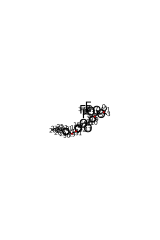 CCC(C)(C)OC(=O)c1ccc(C(=O)Oc2ccc(Cc3ccc(C(C)(C)CC)cc3)cc2)cc1OC(F)(F)F